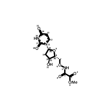 COC(=O)C(=O)NOC[C@H]1O[C@@H](n2ccc(=O)[nH]c2=O)C[C@@H]1O